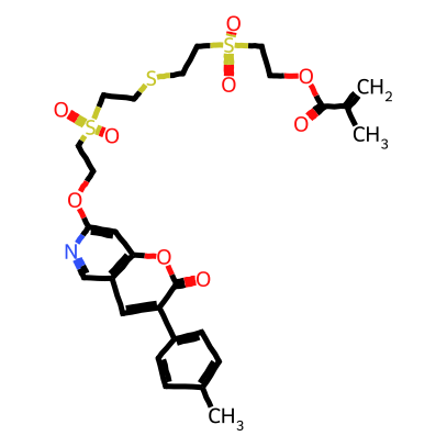 C=C(C)C(=O)OCCS(=O)(=O)CCSCCS(=O)(=O)CCOc1cc2oc(=O)c(-c3ccc(C)cc3)cc2cn1